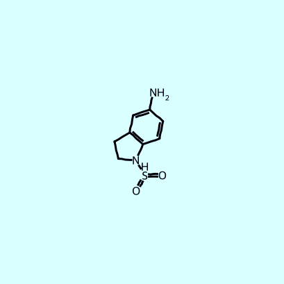 Nc1ccc2c(c1)CCN2[SH](=O)=O